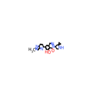 Cn1cc2nc(-c3cc(O)c4c(=O)n(C5CCNC6(CC6)C5)ncc4c3)ccc2n1